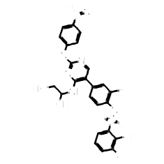 CC(CO)Nc1nc(Nc2ccc([SH](=N)=O)cc2)ncc1-c1ccc(NS(=O)(=O)c2cccc(Cl)c2Cl)c(F)c1